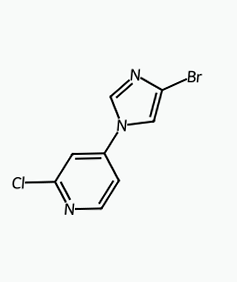 Clc1cc(-n2cnc(Br)c2)ccn1